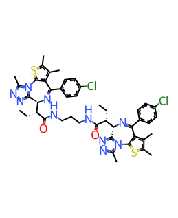 CC[C@@H](C(=O)NCCCNC(=O)[C@H](CC)[C@@H]1N=C(c2ccc(Cl)cc2)c2c(sc(C)c2C)-n2c(C)nnc21)[C@@H]1N=C(c2ccc(Cl)cc2)c2c(sc(C)c2C)-n2c(C)nnc21